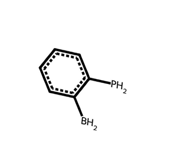 Bc1ccccc1P